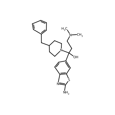 CN(C)CCC(O)(c1ccc2nc(N)sc2c1)N1CCC(Cc2ccccc2)CC1